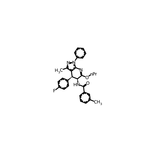 CCCOC1=Nc2c(c(C)nn2-c2ccccc2)[C@H](c2ccc(F)cc2)[C@@H]1NC(=O)c1cccc(C)c1